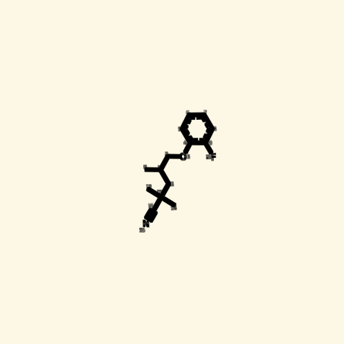 CC(COc1ccccc1F)CC(C)(C)C#N